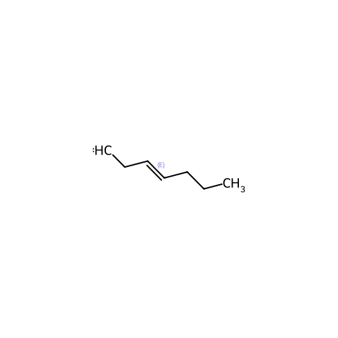 [CH]C/C=C/CCC